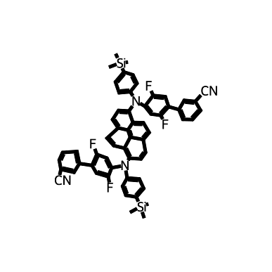 C[Si](C)(C)c1ccc(N(c2cc(F)c(-c3cccc(C#N)c3)cc2F)c2ccc3ccc4c(N(c5ccc([Si](C)(C)C)cc5)c5cc(F)c(-c6cccc(C#N)c6)cc5F)ccc5ccc2c3c54)cc1